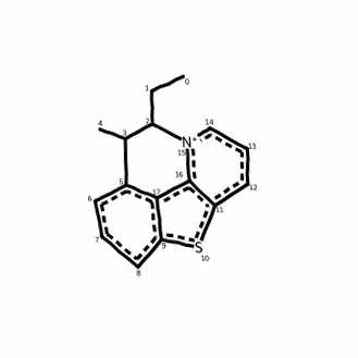 CCC1C(C)c2cccc3sc4ccc[n+]1c4c23